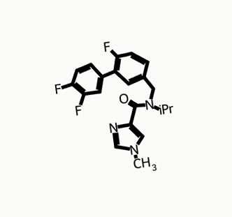 CC(C)N(Cc1ccc(F)c(-c2ccc(F)c(F)c2)c1)C(=O)c1cn(C)cn1